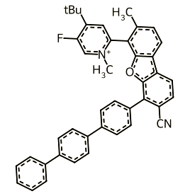 Cc1ccc2c(oc3c(-c4ccc(-c5ccc(-c6ccccc6)cc5)cc4)c(C#N)ccc32)c1-c1cc(C(C)(C)C)c(F)c[n+]1C